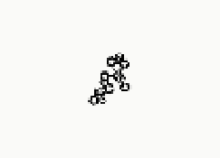 c1ccc(-c2nc(-c3cccc4oc5ccccc5c34)nc(-c3cccc4sc5c(-c6nc7ccccc7s6)cccc5c34)n2)cc1